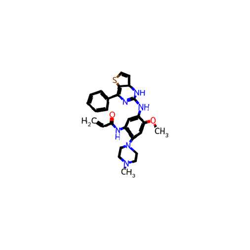 C=CC(=O)Nc1cc(NC2=NC(c3ccccc3)=C3SC=CC3N2)c(OC)cc1N1CCN(C)CC1